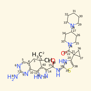 CC1(C)Cc2cnc(N)nc2-c2[nH]nc(C(=O)NC3NC(C4(C(=O)N5CCC(N6CCCCC6)CC5)CC4)=CS3)c21